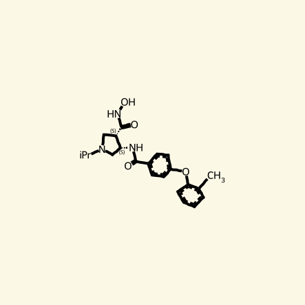 Cc1ccccc1Oc1ccc(C(=O)N[C@@H]2CN(C(C)C)C[C@@H]2C(=O)NO)cc1